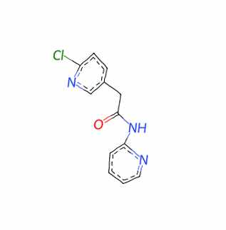 O=C(Cc1ccc(Cl)nc1)Nc1ccccn1